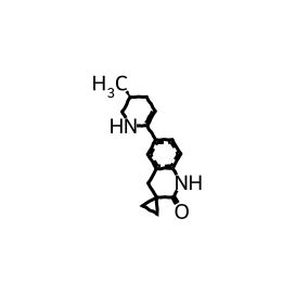 C[C@H]1CC=C(c2ccc3c(c2)CC2(CC2)C(=O)N3)NC1